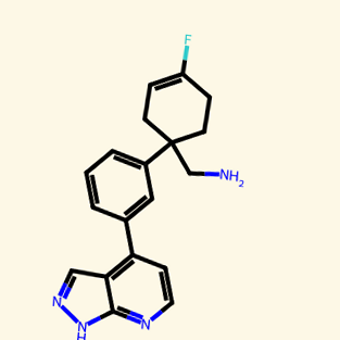 NCC1(c2cccc(-c3ccnc4[nH]ncc34)c2)CC=C(F)CC1